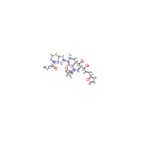 COc1c(N2CC3CCCN(C(C)=O)C3C2)c(F)cc2c(=O)c(C(=O)C=Cc3ccco3)cn(C3CC3)c12